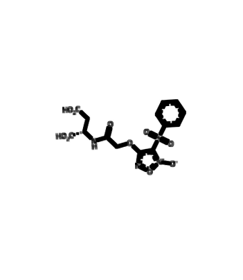 O=C(O)C[C@H](NC(=O)COc1no[n+]([O-])c1S(=O)(=O)c1ccccc1)C(=O)O